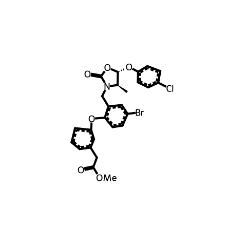 COC(=O)Cc1cccc(Oc2ccc(Br)cc2CN2C(=O)O[C@H](Oc3ccc(Cl)cc3)[C@H]2C)c1